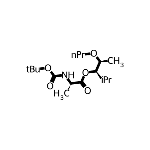 CCCO[C@@H](C)[C@H](OC(=O)[C@H](C)NC(=O)OC(C)(C)C)C(C)C